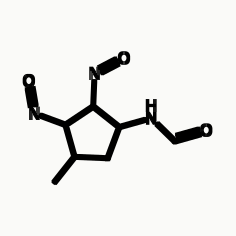 CC1CC(NC=O)C(N=O)C1N=O